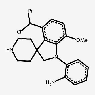 COc1ccc(C(Cl)C(C)C)c2c1N(c1ccccc1N)CC21CCNCC1